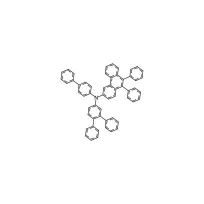 c1ccc(-c2ccc(N(c3ccc(-c4ccccc4)c(-c4ccccc4)c3)c3ccc4c(-c5ccccc5)c(-c5ccccc5)c5ccccc5c4c3)cc2)cc1